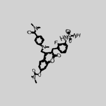 CNS(=O)(=O)Nc1cccc(Cc2c(CN(C)c3ccc(C(=O)N(C)C)cc3)c3ccc(OC(=O)N(C)C)cc3oc2=O)c1F